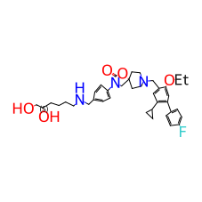 CCOc1cc(-c2ccc(F)cc2)c(C2CC2)cc1CN1CCC2(CC1)CN(c1ccc(CNCCCC[C@H](O)CO)cc1)C(=O)O2